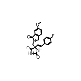 COc1ccc2c(c1)C(=O)N(C[C@@]1(/C=C/c3ccc(F)cc3)NC(=O)NC1=O)C2